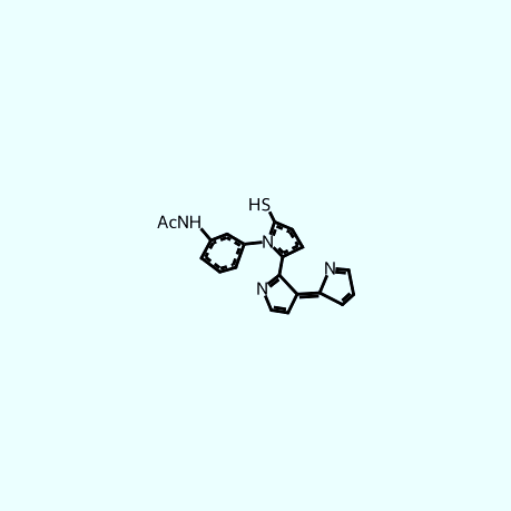 CC(=O)Nc1cccc(-n2c(S)ccc2C2=NC=CC2=C2C=CC=N2)c1